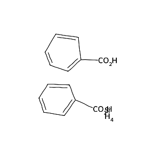 O=C(O)c1ccccc1.O=C(O)c1ccccc1.[SiH4]